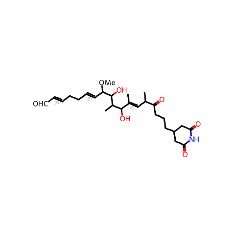 COC(/C=C/CC/C=C/C=O)C(O)C(C)C(O)/C(C)=C/C(C)C(=O)CCCC1CC(=O)NC(=O)C1